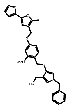 COc1cc(OCc2nc(-c3ccco3)oc2C)ccc1COc1nn(Cc2ccccc2)cc1CO